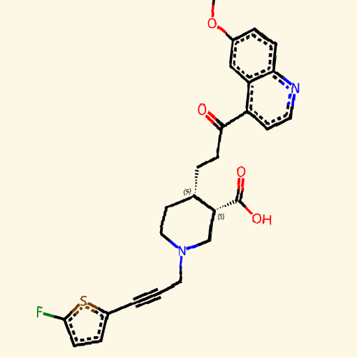 COc1ccc2nccc(C(=O)CC[C@H]3CCN(CC#Cc4ccc(F)s4)C[C@H]3C(=O)O)c2c1